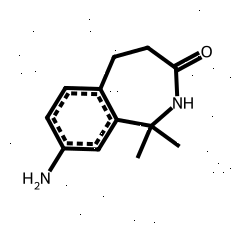 CC1(C)NC(=O)CCc2ccc(N)cc21